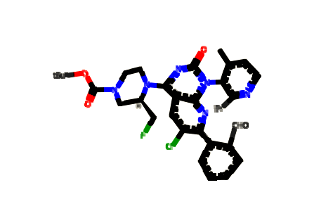 Cc1ccnc(C(C)C)c1-n1c(=O)nc(N2CCN(C(=O)OC(C)(C)C)C[C@@H]2CF)c2cc(Cl)c(-c3ccccc3C=O)nc21